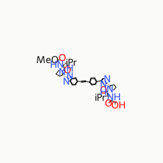 COC(=O)N[C@H](C(=O)N1CCC[C@H]1c1nc2ccc(C#Cc3ccc(-c4cnc([C@@H]5CCCN5C(=O)[C@@H](NC(=O)CO)C(C)C)[nH]4)cc3)cc2[nH]1)C(C)C